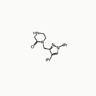 CC(C)c1cn(C(C)C)nc1CN1CCNCC1=O